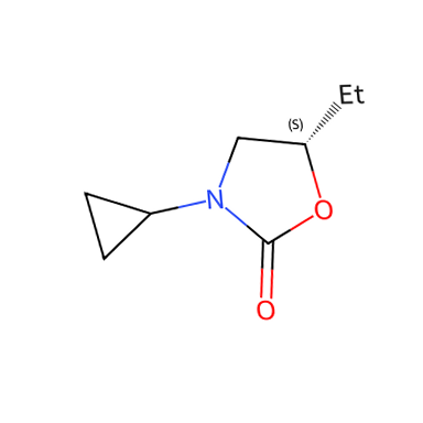 CC[C@H]1CN(C2CC2)C(=O)O1